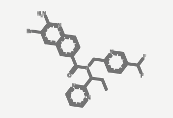 CCC(c1ncccn1)N(Cc1ccc(C(F)F)cn1)C(=O)c1ccc2nc(N)c(Br)cc2c1